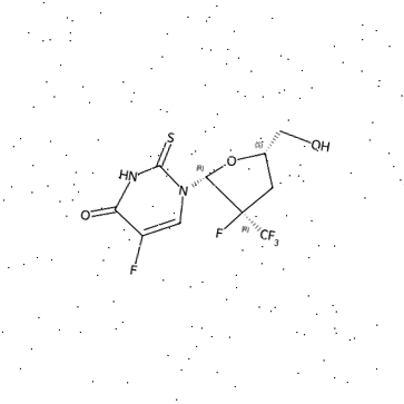 O=c1[nH]c(=S)n([C@@H]2O[C@H](CO)C[C@]2(F)C(F)(F)F)cc1F